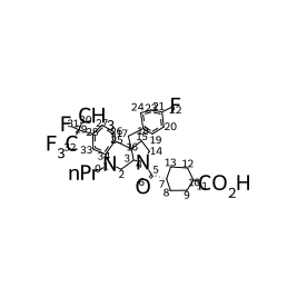 CCCN1CC2N(C(=O)[C@H]3CC[C@H](C(=O)O)CC3)CCC2(Cc2ccc(F)cc2)c2ccc(C(C)(F)C(F)(F)F)cc21